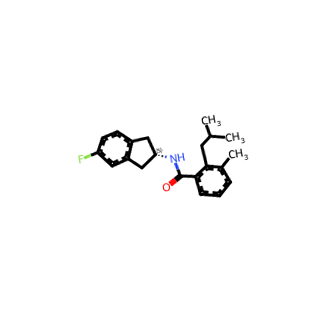 Cc1cccc(C(=O)N[C@H]2Cc3ccc(F)cc3C2)c1CC(C)C